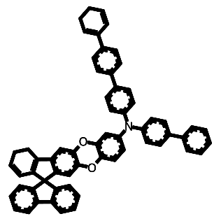 C1=CC(c2ccc(-c3ccc(N(c4ccc(-c5ccccc5)cc4)c4ccc5c(c4)Oc4cc6c(cc4O5)C4(C5=C6CCC=C5)c5ccccc5-c5ccccc54)cc3)cc2)=CCC1